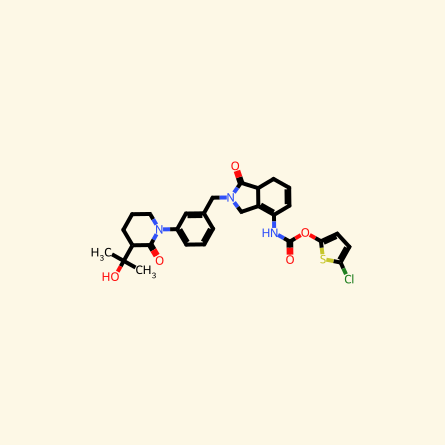 CC(C)(O)C1CCCN(c2cccc(CN3CC4=C(NC(=O)Oc5ccc(Cl)s5)C=CCC4C3=O)c2)C1=O